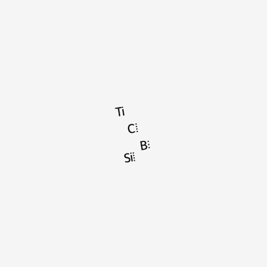 [B].[C].[Si].[Ti]